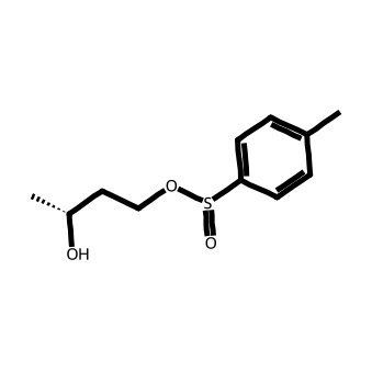 Cc1ccc(S(=O)OCC[C@@H](C)O)cc1